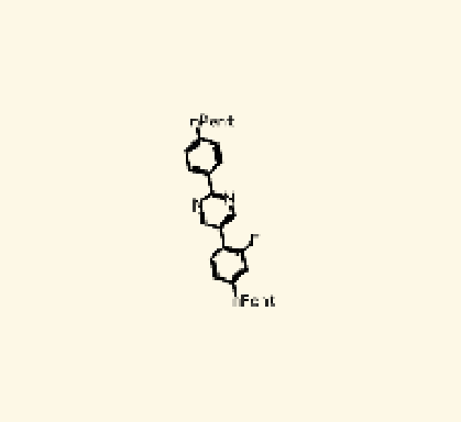 CCCCCc1ccc(-c2ncc(-c3ccc(CCCCC)cc3F)cn2)cc1